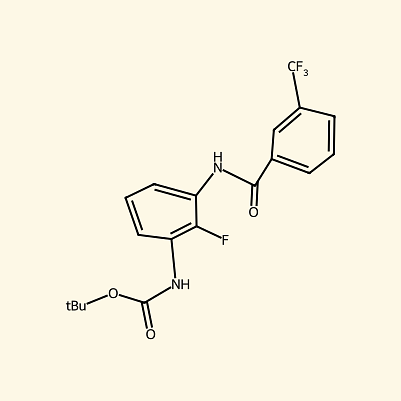 CC(C)(C)OC(=O)Nc1cccc(NC(=O)c2cccc(C(F)(F)F)c2)c1F